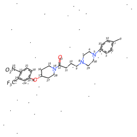 Cc1ccc(N2CCN(CCCC(=O)N3CCC(Oc4ccc([N+](=O)[O-])c(C(F)(F)F)c4)CC3)CC2)cc1